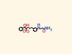 NC(=O)CCNc1cccc(CCCc2c(O)c3ccccc3oc2=O)c1